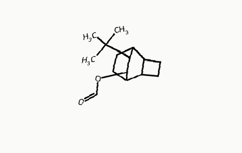 CC(C)(C)C1C2CCC(C3CCC32)C1OC=O